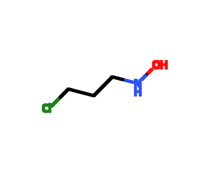 ONCCCCl